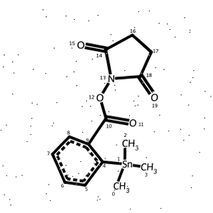 [CH3][Sn]([CH3])([CH3])[c]1ccccc1C(=O)ON1C(=O)CCC1=O